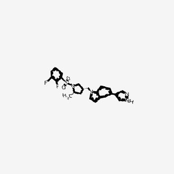 C[C@H]1C[C@@H](Cn2ccc3cc(-c4cn[nH]c4)ccc32)CN1S(=O)(=O)c1cccc(F)c1F